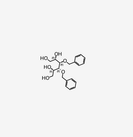 OC[C@@H](O)[C@@H](OCc1ccccc1)[C@H](OCc1ccccc1)[C@H](O)CO